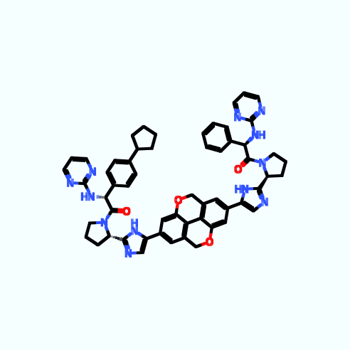 O=C([C@H](Nc1ncccn1)c1ccccc1)N1CCC[C@H]1c1ncc(-c2cc3c4c(c2)OCc2cc(-c5cnc([C@@H]6CCCN6C(=O)[C@H](Nc6ncccn6)c6ccc(C7CCCC7)cc6)[nH]5)cc(c2-4)OC3)[nH]1